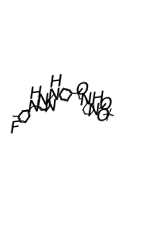 Cc1cc(Nc2ccnc(Nc3ccc(C(=O)CNC4CCCN(C(=O)OC(C)(C)C)C4)cc3)n2)ccc1F